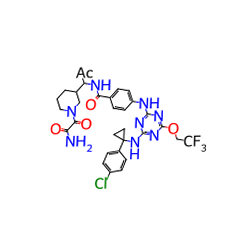 CC(=O)C(NC(=O)c1ccc(Nc2nc(NC3(c4ccc(Cl)cc4)CC3)nc(OCC(F)(F)F)n2)cc1)C1CCCN(C(=O)C(N)=O)C1